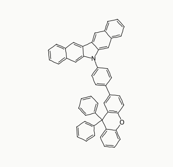 c1ccc(C2(c3ccccc3)c3ccccc3Oc3ccc(-c4ccc(-n5c6cc7ccccc7cc6c6cc7ccccc7cc65)cc4)cc32)cc1